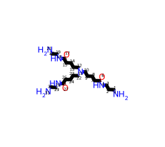 NCCCNC(=O)CCCCN(CCCCC(=O)NCCN)CCCCC(=O)NCCN